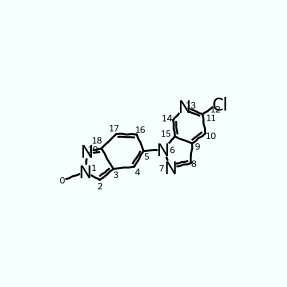 Cn1cc2cc(-n3ncc4cc(Cl)ncc43)ccc2n1